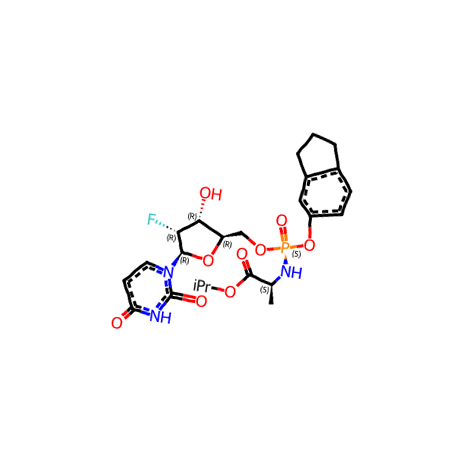 CC(C)OC(=O)[C@H](C)N[P@](=O)(OC[C@H]1O[C@@H](n2ccc(=O)[nH]c2=O)[C@H](F)[C@@H]1O)Oc1ccc2c(c1)CCC2